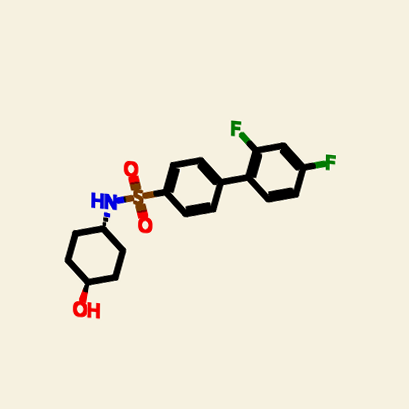 O=S(=O)(N[C@H]1CC[C@H](O)CC1)c1ccc(-c2ccc(F)cc2F)cc1